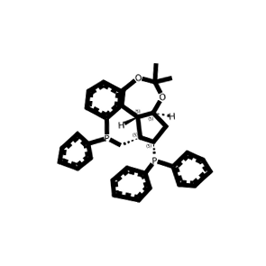 CC1(C)OCC[C@H]2[C@@H](CP(c3ccccc3)c3ccccc3)[C@@H](P(c3ccccc3)c3ccccc3)C[C@@H]2O1